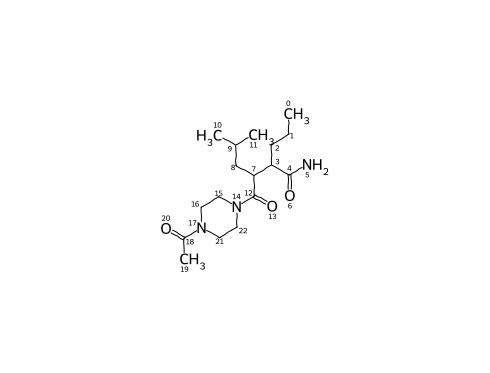 CCCC(C(N)=O)C(CC(C)C)C(=O)N1CCN(C(C)=O)CC1